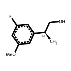 COc1cc(F)cc([C@H](C)CO)c1